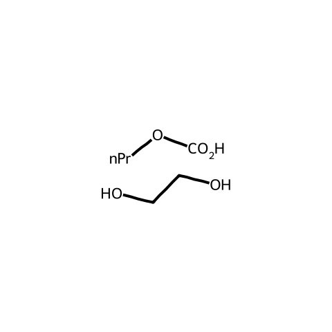 CCCOC(=O)O.OCCO